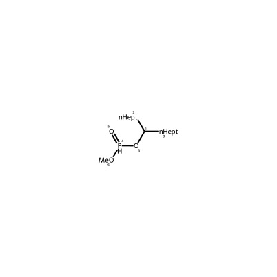 CCCCCCCC(CCCCCCC)O[PH](=O)OC